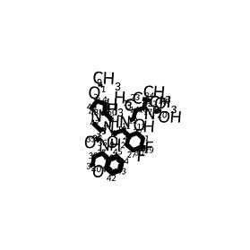 CCO[C@H]1C[C@@H]2CN(C(=O)[C@@H](NC(=O)[C@@H](C)C(NC(=O)O)C(C)(C)C)C3CCC(F)(F)CC3)[C@H](C(=O)N[C@@H]3CCOc4ccccc43)CN2C1